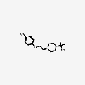 CC(C)(C#N)N1CCN(CCOc2ccc(N)cc2)CC1